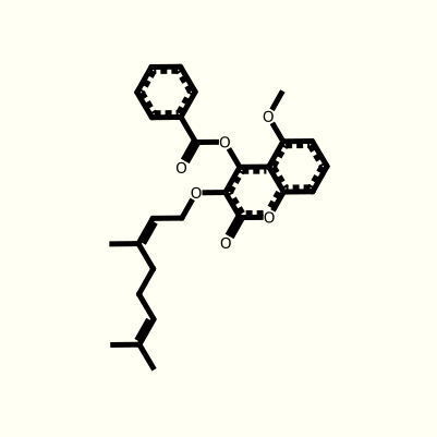 COc1cccc2oc(=O)c(OCC=C(C)CCC=C(C)C)c(OC(=O)c3ccccc3)c12